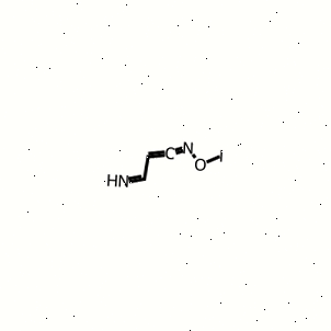 N=CC=C=NOI